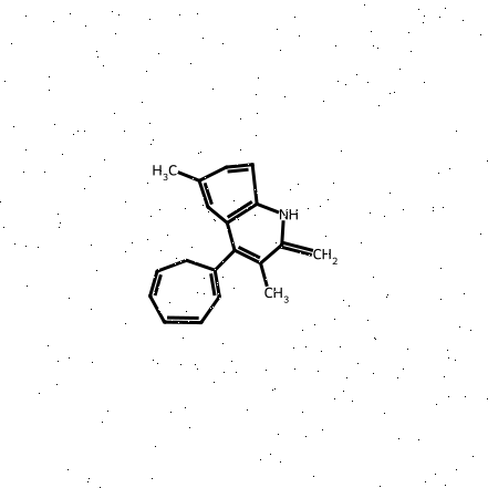 C=C1Nc2ccc(C)cc2C(C2=CC=CC=CC2)=C1C